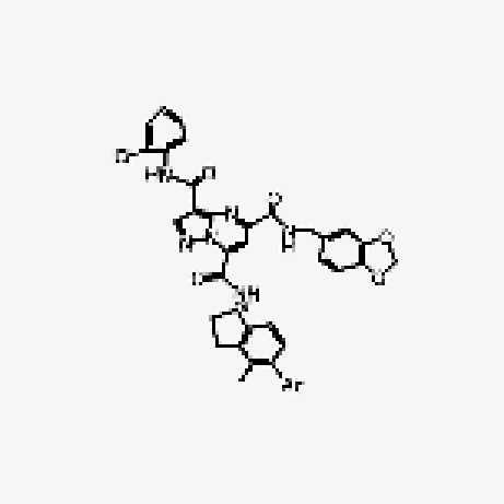 CC(=O)c1ccc2c(c1C)CC[C@@H]2NC(=O)c1cc(C(=O)NCc2ccc3c(c2)OCO3)nc2c(C(=O)Nc3ccccc3Cl)cnn12